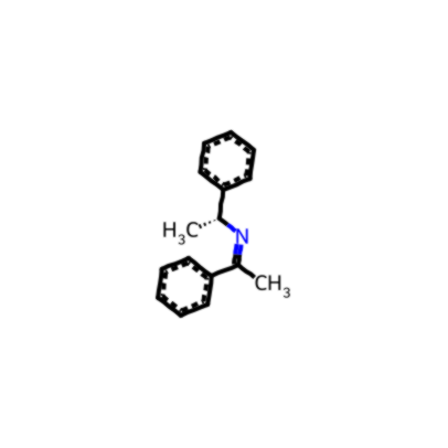 C/C(=N/[C@H](C)c1ccccc1)c1ccccc1